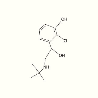 CC(C)(C)NCC(O)c1cccc(O)c1Cl